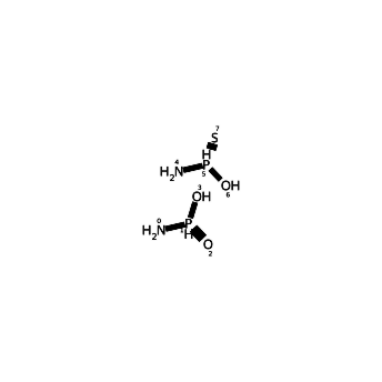 N[PH](=O)O.N[PH](O)=S